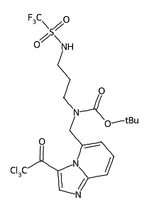 CC(C)(C)OC(=O)N(CCCNS(=O)(=O)C(F)(F)F)Cc1cccc2ncc(C(=O)C(Cl)(Cl)Cl)n12